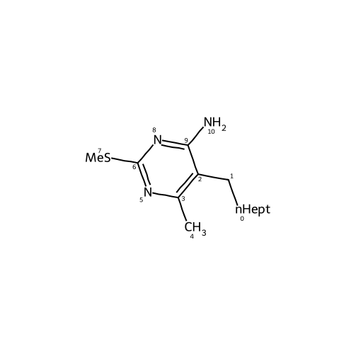 CCCCCCCCc1c(C)nc(SC)nc1N